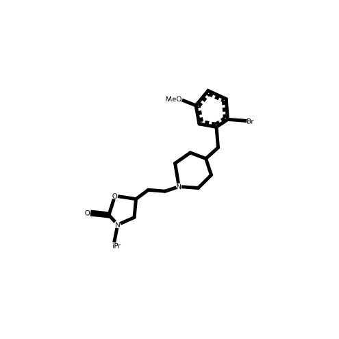 COc1ccc(Br)c(CC2CCN(CCC3CN(C(C)C)C(=O)O3)CC2)c1